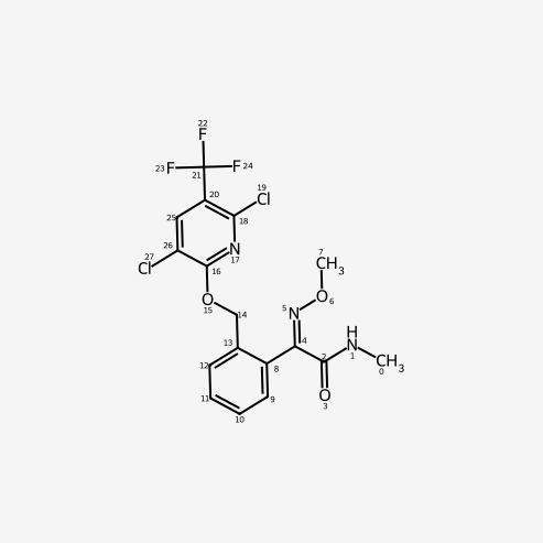 CNC(=O)/C(=N\OC)c1ccccc1COc1nc(Cl)c(C(F)(F)F)cc1Cl